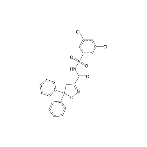 O=C(NS(=O)(=O)c1cc(Cl)cc(Cl)c1)C1=NOC(c2ccccc2)(c2ccccc2)C1